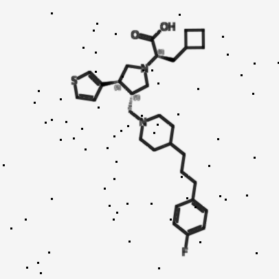 O=C(O)[C@@H](CC1CCC1)N1C[C@H](CN2CCC(CCCc3ccc(F)cc3)CC2)[C@@H](c2ccsc2)C1